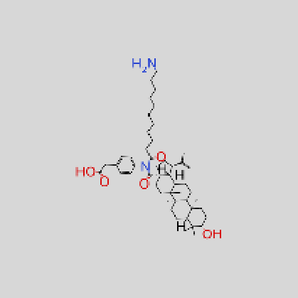 C=C(C)[C@@H]1CC[C@]2(C(=O)N(C(=O)CCCCCCCCCCN)c3ccc(CC(=O)O)cc3)CC[C@]3(C)[C@H](CCC4[C@@]5(C)CC[C@H](O)C(C)(C)[C@@H]5CC[C@]43C)[C@@H]12